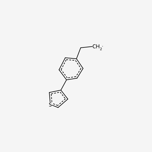 [CH2]Cc1ccc(-c2ccsc2)cc1